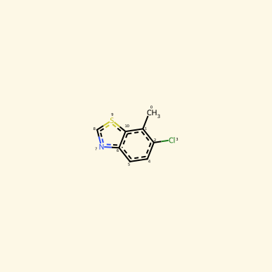 Cc1c(Cl)ccc2ncsc12